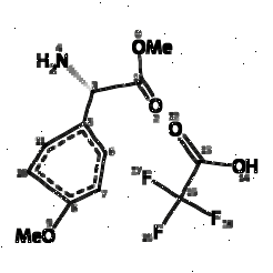 COC(=O)[C@@H](N)c1ccc(OC)cc1.O=C(O)C(F)(F)F